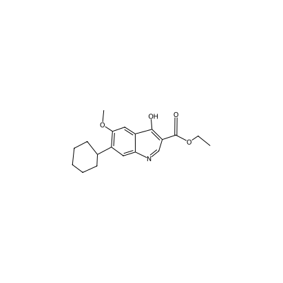 CCOC(=O)c1cnc2cc(C3CCCCC3)c(OC)cc2c1O